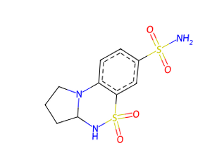 NS(=O)(=O)c1ccc2c(c1)S(=O)(=O)NC1CCCN21